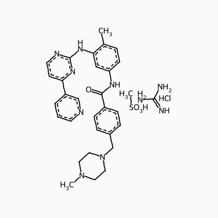 CS(=O)(=O)O.Cc1ccc(NC(=O)c2ccc(CN3CCN(C)CC3)cc2)cc1Nc1nccc(-c2cccnc2)n1.Cl.N=C(N)N